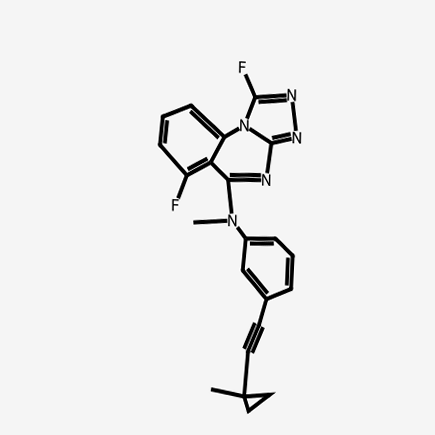 CN(c1cccc(C#CC2(C)CC2)c1)c1nc2nnc(F)n2c2cccc(F)c12